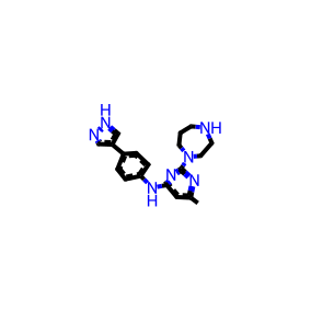 Cc1cc(Nc2ccc(-c3cn[nH]c3)cc2)nc(N2CCCNCC2)n1